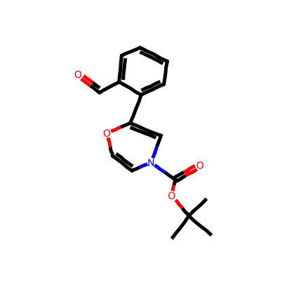 CC(C)(C)OC(=O)N1C=COC(c2ccccc2C=O)=C1